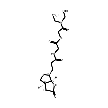 O=CCN(CC(=O)O)C(=O)CNC(=O)CNC(=O)CC[C@@H]1SC[C@@H]2NC(=O)N[C@@H]21